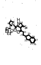 CCOC(OCC)[C@@H]1CCCN1C(=O)[C@H]1NCC(=S)C1C(=O)CCC1Cc2ccccc2C1